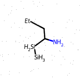 CCCC(N)[SiH2][SiH3]